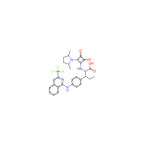 CCC(c1ccc(Nc2nc(C(F)(F)F)cc3ccccc23)cc1)C(Nc1c(N2C(C)CCC2C)c(=O)c1=O)C(=O)O